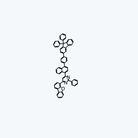 c1ccc(-c2nc(-c3ccc(-c4ccc(-c5ccc6c(c5)-c5ccccc5C6(c5ccccc5)c5ccccc5)cc4)c4ccccc34)cc(-c3cccc4c3oc3ccccc34)n2)cc1